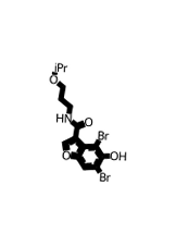 CC(C)OCCCNC(=O)c1coc2cc(Br)c(O)c(Br)c12